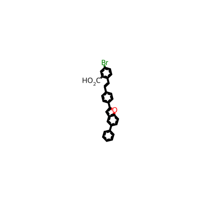 O=C(O)c1cc(Br)ccc1/C=C/c1ccc(-c2cc3cc(-c4ccccc4)ccc3o2)cc1